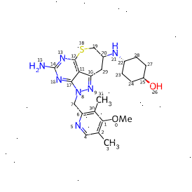 COc1c(C)cnc(Cn2nc3c4c(nc(N)nc42)SCC(N[C@H]2CC[C@H](O)CC2)C3)c1C